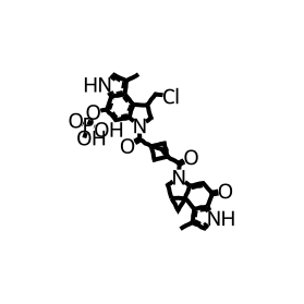 Cc1c[nH]c2c1C13CC1CN(C(=O)C14CC(C(=O)N5CC(CCl)c6c5cc(OP(=O)(O)O)c5[nH]cc(C)c65)(C1)C4)C3=CC2=O